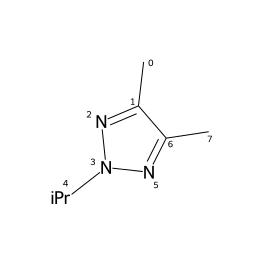 Cc1nn(C(C)C)nc1C